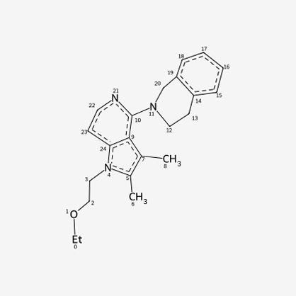 CCOCCn1c(C)c(C)c2c(N3CCc4ccccc4C3)nccc21